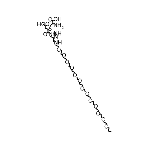 CCCOCCOCCOCCOCCOCCOCCOCCOCCOCCOCCOCCOCCOCCN/C=C(/CNC(=O)C(CC(=O)O)SCC(N)C(=O)O)N=N